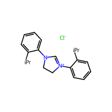 CC(C)c1ccccc1N1C=[N+](c2ccccc2C(C)C)CC1.[Cl-]